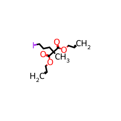 C=CCOC(=O)C(C)(CCCI)C(=O)OCC=C